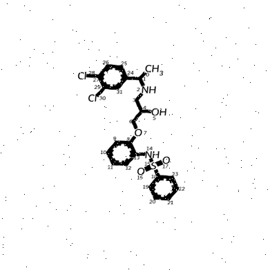 CC(NCC(O)COc1ccccc1NS(=O)(=O)c1ccccc1)c1ccc(Cl)c(Cl)c1